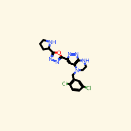 Clc1ccc(Cl)c(CN2CCNc3nnc(-c4nnc(C5CCCN5)o4)cc32)c1